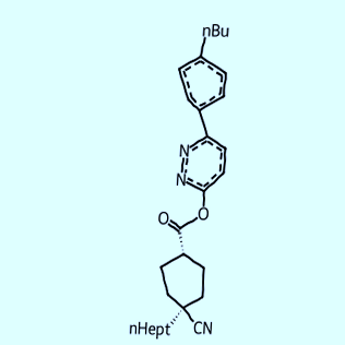 CCCCCCC[C@]1(C#N)CC[C@H](C(=O)Oc2ccc(-c3ccc(CCCC)cc3)nn2)CC1